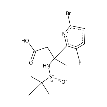 CC(CC(=O)O)(N[S@+]([O-])C(C)(C)C)c1nc(Br)ccc1F